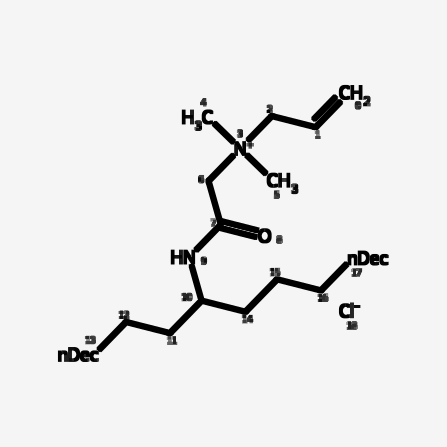 C=CC[N+](C)(C)CC(=O)NC(CCCCCCCCCCCC)CCCCCCCCCCCCC.[Cl-]